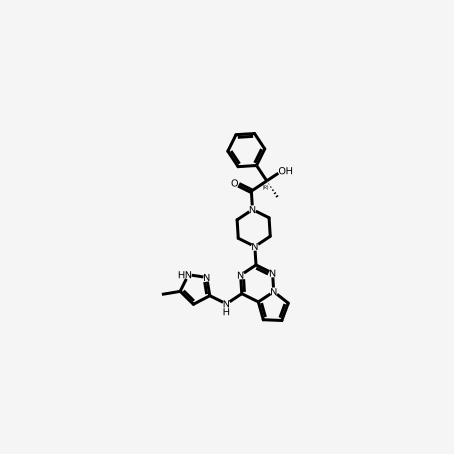 Cc1cc(Nc2nc(N3CCN(C(=O)[C@](C)(O)c4ccccc4)CC3)nn3cccc23)n[nH]1